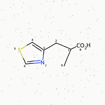 CC(Cc1cscn1)C(=O)O